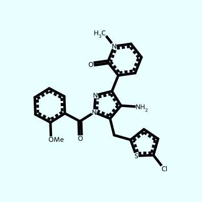 COc1ccccc1C(=O)n1nc(-c2cccn(C)c2=O)c(N)c1Cc1ccc(Cl)s1